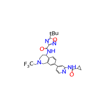 CC(C)(C)c1nc(C(=O)N[C@@H]2CCN(CC(F)(F)F)Cc3cc(-c4ccnc(NC(=O)C5CC5)c4)ccc32)no1